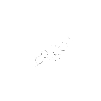 CC(=O)N[C@@H]1C[C@H](N(C)C)CC[C@@H]1N1CC[C@H](Nc2ncnc3ccc(C(F)(F)F)cc23)C1=O